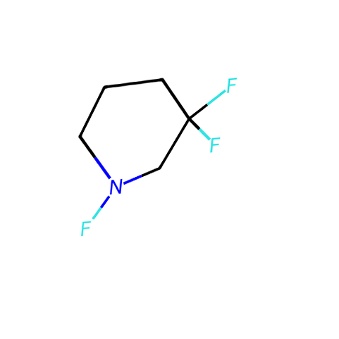 FN1CCCC(F)(F)C1